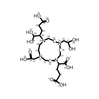 O=C(O)CCC(C(=O)O)N1CCN(CC(=O)O)CCN(C(CCC(=O)O)C(O)O)CCN(CC(O)O)CC1